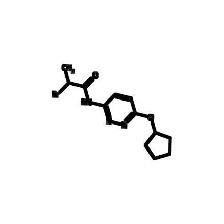 CC(Br)C(=O)Nc1ccc(OC2CCCC2)nn1